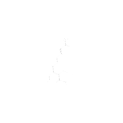 CCC(CCCC=CC(N)=O)=C(CC)C(N)=O